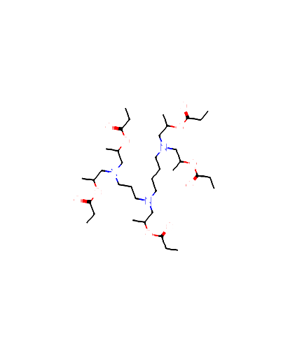 CCC(=O)OC(C)CN(CCCCN(CC(C)OC(=O)CC)CC(C)OC(=O)CC)CCCN(CC(C)OC(=O)CC)CC(C)OC(=O)CC